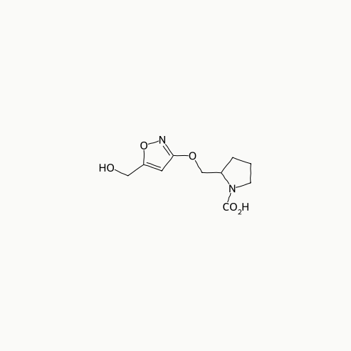 O=C(O)N1CCCC1COc1cc(CO)on1